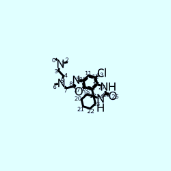 CN(C)CCN(C)Cc1nc2cc(Cl)c3c(c2o1)C1(CCCCC1)NC(=O)N3